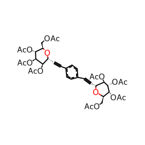 CC(=O)OC[C@H]1O[C@H](C#Cc2ccc(C#C[C@H]3O[C@H](COC(C)=O)[C@@H](OC(C)=O)[C@@H](OC(C)=O)[C@@H]3OC(C)=O)cc2)[C@@H](OC(C)=O)[C@@H](OC(C)=O)[C@@H]1OC(C)=O